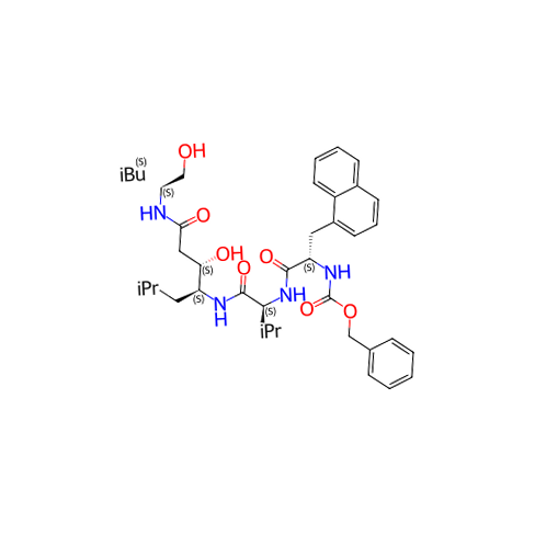 CC[C@H](C)[C@@H](CO)NC(=O)C[C@H](O)[C@H](CC(C)C)NC(=O)[C@@H](NC(=O)[C@H](Cc1cccc2ccccc12)NC(=O)OCc1ccccc1)C(C)C